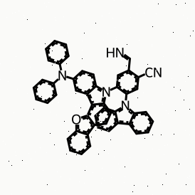 N#Cc1cc(-n2c3ccccc3c3ccccc32)c(-n2c3ccc(N(c4ccccc4)c4ccccc4)cc3c3c4oc5ccccc5c4ccc32)cc1C=N